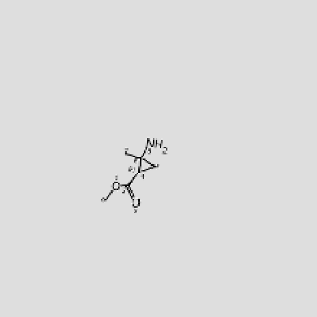 COC(=O)[C@@H]1CC1(C)N